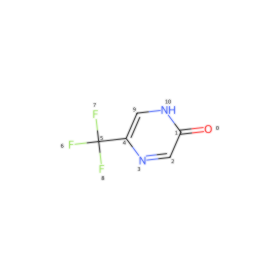 O=c1cnc(C(F)(F)F)c[nH]1